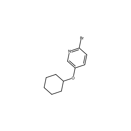 Brc1ccc(OC2CCCCC2)cn1